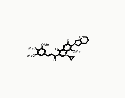 COc1cc(/C=C/C(=O)c2cn(C3CC3)c3c(OC)c(N4CC5CCCNC5C4)c(F)cc3c2=O)cc(OC)c1OC